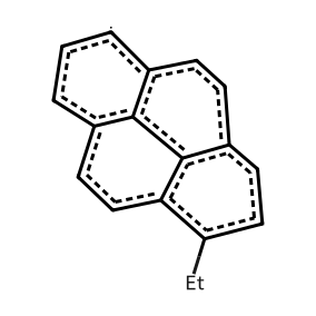 CCc1ccc2ccc3[c]ccc4ccc1c2c34